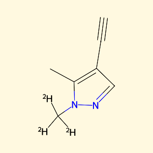 [2H]C([2H])([2H])n1ncc(C#C)c1C